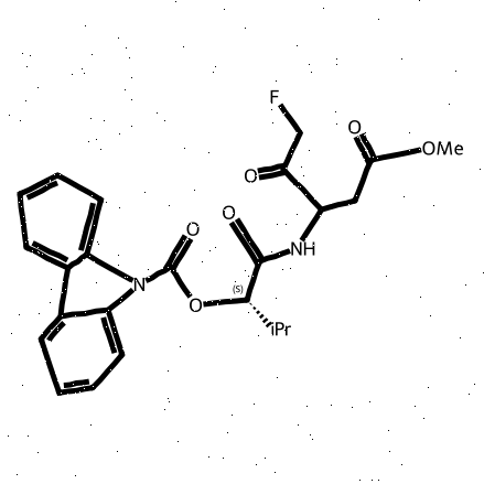 COC(=O)CC(NC(=O)[C@@H](OC(=O)n1c2ccccc2c2ccccc21)C(C)C)C(=O)CF